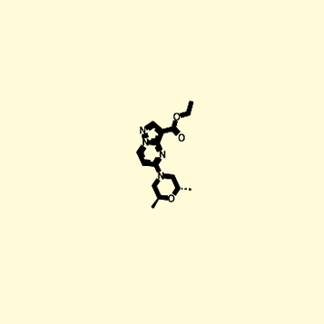 CCOC(=O)c1cnn2ccc(N3C[C@H](C)O[C@@H](C)C3)nc12